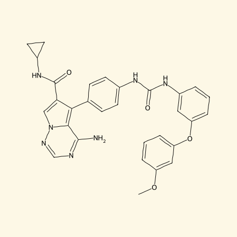 COc1cccc(Oc2cccc(NC(=O)Nc3ccc(-c4c(C(=O)NC5CC5)cn5ncnc(N)c45)cc3)c2)c1